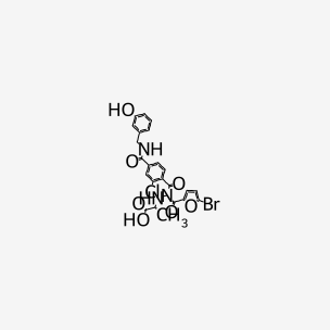 C[C@H](NN(C(=O)c1ccc(Br)o1)C(=O)c1ccc(C(=O)NCc2cccc(O)c2)cc1Cl)C(=O)O